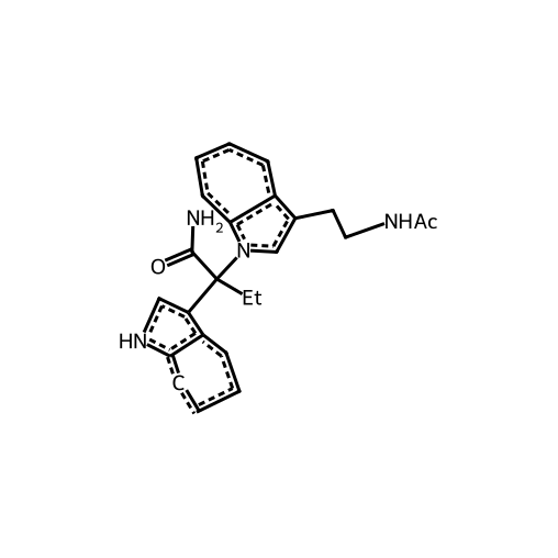 CCC(C(N)=O)(c1c[nH]c2ccccc12)n1cc(CCNC(C)=O)c2ccccc21